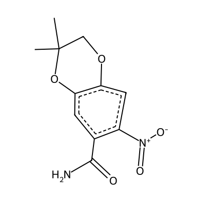 CC1(C)COc2cc([N+](=O)[O-])c(C(N)=O)cc2O1